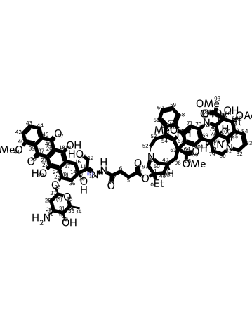 CCC1(OC(=O)CCC(=O)N/N=C(\CO)[C@@]2(O)Cc3c(O)c4c(c(O)c3[C@H](O[C@@H]3C[C@H](N)[C@H](O)[C@H](C)O3)C2)C(=O)c2c(OC)cccc2C4=O)C[C@H]2C[N@@](CCc3c([nH]c4ccccc34)C(C(=O)OC)(c3cc4c(cc3OC)N(C=O)[C@@H]3[C@H]5[C@@H]4CCN4CC=C[C@](CC)([C@@H](OC(C)=O)[C@]3(O)C(=O)OC)[C@]54N)C2)C1